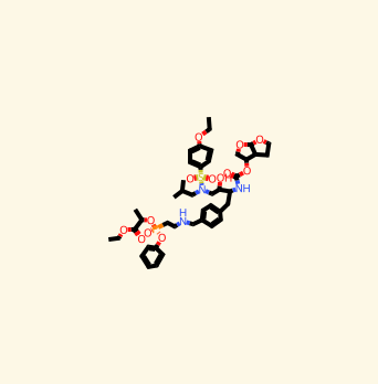 CCOC(=O)C(C)OP(=O)(CCNCc1ccc(CC(NC(=O)OC2COC3OCCC23)C(O)CN(CC(C)C)S(=O)(=O)c2ccc(OCC)cc2)cc1)Oc1ccccc1